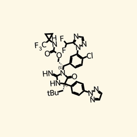 CC(C)(C)C[C@]1(c2ccc(-n3nccn3)cc2)NC(=N)N([C@H](COC(=O)NC2(C(F)(F)F)CC2)c2ccc(Cl)c(-n3ncnc3C(F)F)c2)C1=O